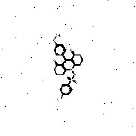 COc1ccc(C2C3=C(CCCC3=O)N(NS(=O)(=O)c3ccc(C)cc3)C3=C2C(=O)CCC3)cc1